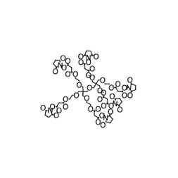 O=C(CC(=O)ON1C(=O)CCC1=O)OCCOCC(COCCOC(=O)CC(=O)ON1C(=O)CCC1=O)(COCCOC(=O)CC(=O)ON1C(=O)CCC1=O)COCC(COCCOC(=O)CC(=O)ON1C(=O)CCC1=O)(COOC(=O)CC(=O)ON1C(=O)CCC1=O)COOC(=O)CC(=O)ON1C(=O)CCC1=O